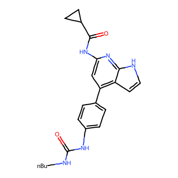 CCCCNC(=O)Nc1ccc(-c2cc(NC(=O)C3CC3)nc3[nH]ccc23)cc1